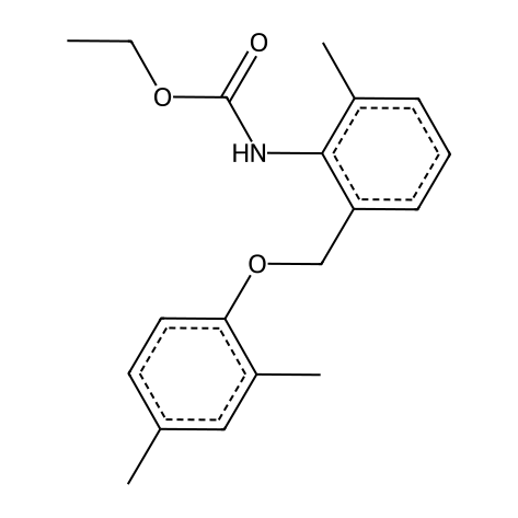 CCOC(=O)Nc1c(C)cccc1COc1ccc(C)cc1C